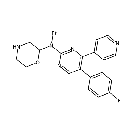 CCN(c1ncc(-c2ccc(F)cc2)c(-c2ccncc2)n1)C1CNCCO1